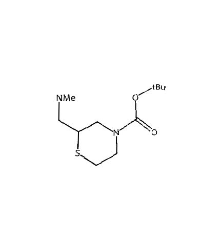 CNCC1CN(C(=O)OC(C)(C)C)CCS1